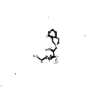 N=C(CN1CCc2ccccc2C1)/C(=C\NCS)SS